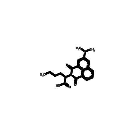 CCCCC(C(=O)O)N1C(=O)c2cccc3cc(N(C)C)cc(c23)C1=O